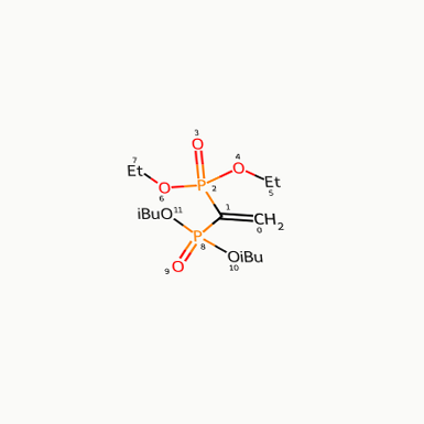 C=C(P(=O)(OCC)OCC)P(=O)(OCC(C)C)OCC(C)C